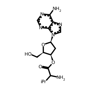 CC(C)C(N)C(=O)O[C@@H]1C[C@H](n2cnc3c(N)ncnc32)O[C@@H]1CO